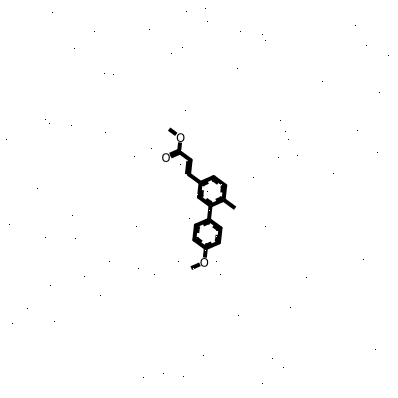 COC(=O)C=Cc1ccc(C)c(-c2ccc(OC)cc2)c1